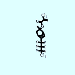 C=C(C(=O)OC1(C)CC2CC1CC2C(F)(F)C(F)(F)C(F)(F)C(F)(F)F)C(F)(F)F